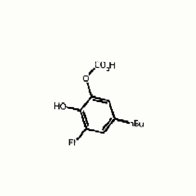 CCCCc1cc(CC)c(O)c(OC(=O)O)c1